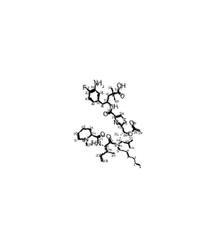 CCCCCCN(C(=O)[C@@H](NC(=O)C1CCCCN1C)[C@@H](C)CC)[C@H](C[C@@H](OC(C)=O)c1nc(C(=O)NC(Cc2ccc(F)c(N)c2)CC(C)(C)C(=O)O)cs1)C(C)C